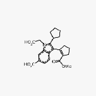 COC(=O)C1=C(c2c(C3CCCC3)n(CC(=O)O)c3cc(C(=O)O)ccc23)CCC1